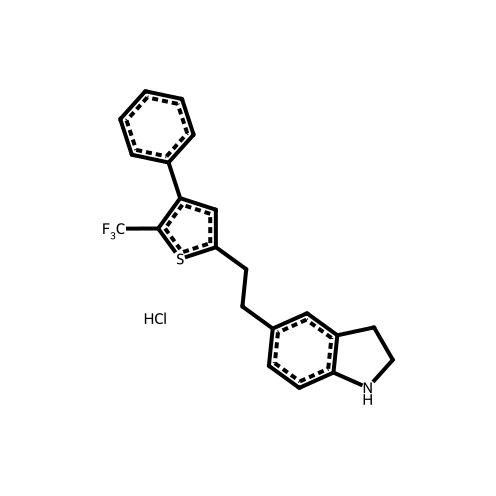 Cl.FC(F)(F)c1sc(CCc2ccc3c(c2)CCN3)cc1-c1ccccc1